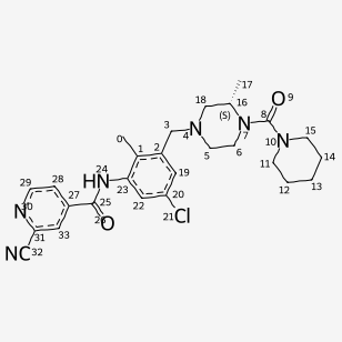 Cc1c(CN2CCN(C(=O)N3CCCCC3)[C@@H](C)C2)cc(Cl)cc1NC(=O)c1ccnc(C#N)c1